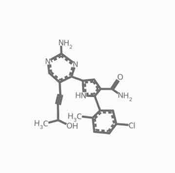 Cc1ccc(Cl)cc1-c1[nH]c(-c2nc(N)ncc2C#CC(C)O)cc1C(N)=O